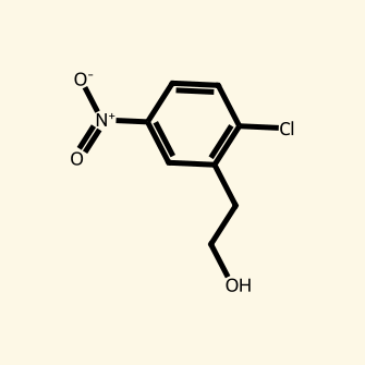 O=[N+]([O-])c1ccc(Cl)c(CCO)c1